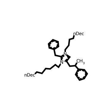 CCCCCCCCCCCCCCCC[n+]1c(CC(C)c2ccccc2)cn(CCCCCCCCCCCCCC)c1Cc1ccccc1